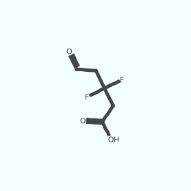 O=CCC(F)(F)CC(=O)O